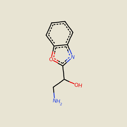 NCC(O)c1nc2ccccc2o1